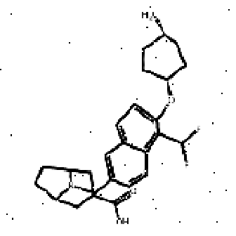 C[C@H]1CC[C@@H](Oc2ccc3cc(CN4C5CCC4CC(C(=O)O)C5)ccc3c2C(F)F)CC1